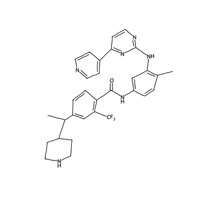 Cc1ccc(NC(=O)c2ccc(C(C)C3CCNCC3)cc2C(F)(F)F)cc1Nc1nccc(-c2ccncc2)n1